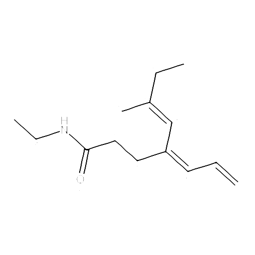 C=C/C=C(\C=C(/C)CC)CCC(=O)NCC